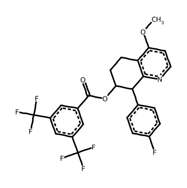 COc1ccnc2c1CCC(OC(=O)c1cc(C(F)(F)F)cc(C(F)(F)F)c1)C2c1ccc(F)cc1